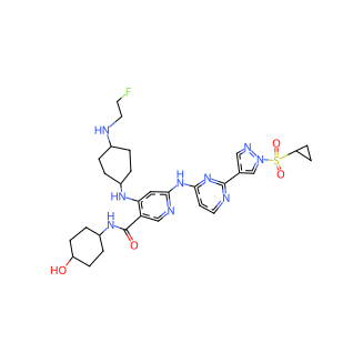 O=C(NC1CCC(O)CC1)c1cnc(Nc2ccnc(-c3cnn(S(=O)(=O)C4CC4)c3)n2)cc1NC1CCC(NCCF)CC1